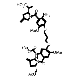 C=C1C[C@@H](COC(C)=O)N(C(=O)c2cc(OC)c(OCCCOc3cc(N)c(C(=O)N4CC(=C)C[C@H]4C(C)C(=O)O)cc3OC)cc2NC(=O)OC(C)(C)C)C1